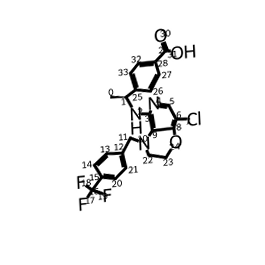 C[C@H](Nc1ncc(Cl)c2c1N(Cc1ccc(C(F)(F)F)cc1)CCO2)c1ccc(C(=O)O)cc1